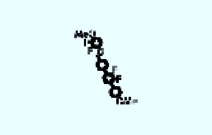 COc1ccc(OCC2CCC(c3ccc(C4CCC(OC)CC4)c(F)c3F)CC2)c(F)c1F